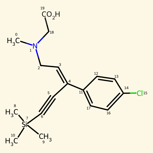 CN(CC=C(C#C[Si](C)(C)C)c1ccc(Cl)cc1)CC(=O)O